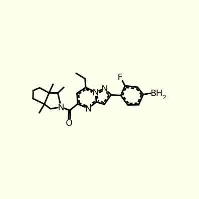 Bc1ccc(-c2cc3nc(C(=O)N4CC5(C)CCCC5(C)C4C)cc(CC)n3n2)c(F)c1